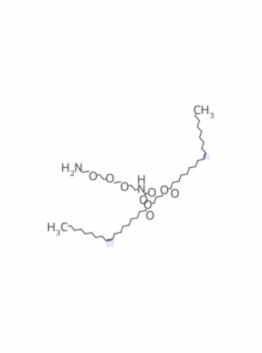 CCCCCCCC/C=C\CCCCCCCC(=O)OCC(COC(=O)CCCCCCC/C=C\CCCCCCCC)OC(=O)NCCOCCOCCOCCN